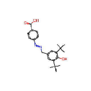 CC(C)(C)c1cc(CN=Nc2ccc(C(=O)O)cc2)cc(C(C)(C)C)c1O